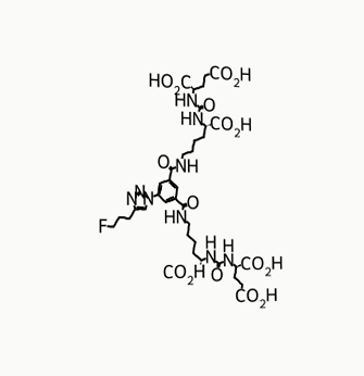 O=C(O)CC[C@@H](NC(=O)N[C@@H](CCCCNC(=O)c1cc(C(=O)NCCCC[C@H](NC(=O)N[C@H](CCC(=O)O)C(=O)O)C(=O)O)cc(-n2cc(CCCF)nn2)c1)C(=O)O)C(=O)O